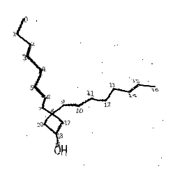 CCCCCCCCC1(CCCCCCCC)CC(O)C1